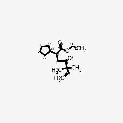 C=CC(C)(C)C(=O)CC(C(=O)OCC)C1CCCC1